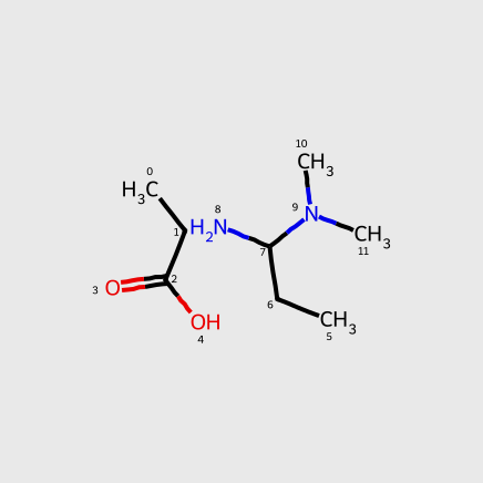 CCC(=O)O.CCC(N)N(C)C